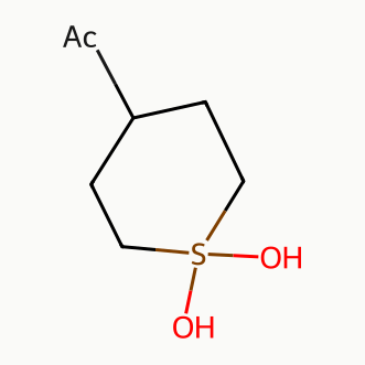 CC(=O)C1CCS(O)(O)CC1